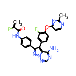 C=C(F)C(=O)Nc1ccc(-c2nn3ncnc(N)c3c2-c2ccc(Oc3ccnc(C)n3)c(F)c2)cc1